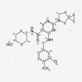 Cc1ccc(CNc2nc(N3CCC4(CC4)C3)ncc2C(=O)N[C@H]2CC[C@@H](O)CC2)cc1Cl